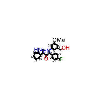 COc1cc(CO)cc(NC(C(=O)c2c[nH]c3ccccc23)c2ccc(F)cc2)c1